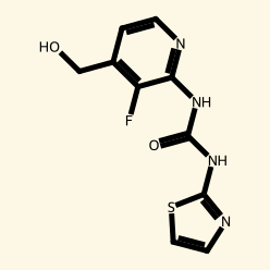 O=C(Nc1nccs1)Nc1nccc(CO)c1F